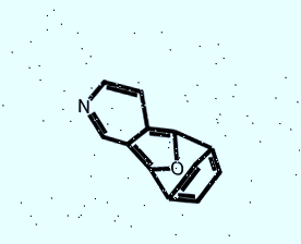 c1cc2c3oc(c2cn1)-c1ccc-3cc1